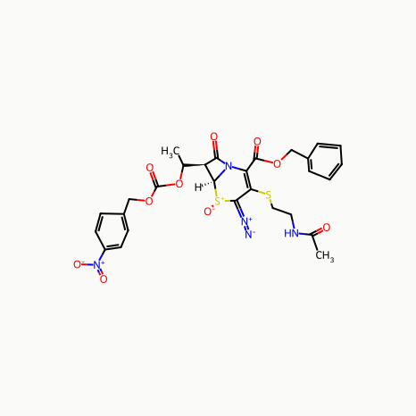 CC(=O)NCCSC1=C(C(=O)OCc2ccccc2)N2C(=O)[C@H](C(C)OC(=O)OCc3ccc([N+](=O)[O-])cc3)[C@@H]2[S@@+]([O-])C1=[N+]=[N-]